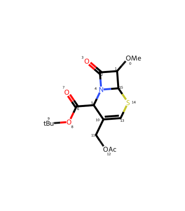 COC1C(=O)N2C(C(=O)OC(C)(C)C)C(COC(C)=O)=CSC12